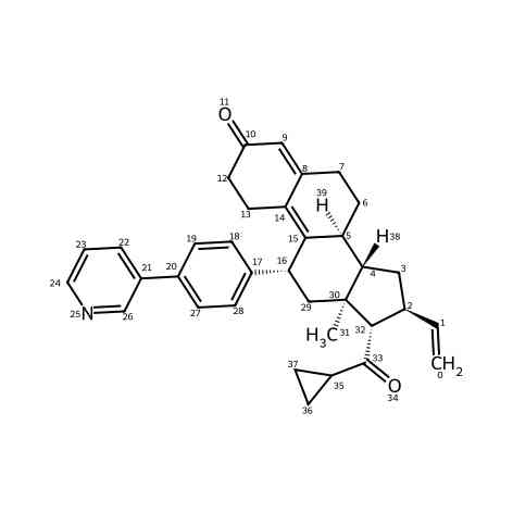 C=C[C@@H]1C[C@H]2[C@@H]3CCC4=CC(=O)CCC4=C3[C@@H](c3ccc(-c4cccnc4)cc3)C[C@]2(C)[C@H]1C(=O)C1CC1